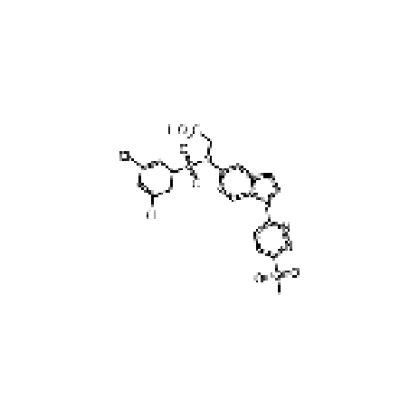 CS(=O)(=O)c1ccc(-n2ccc3cc(N(CC(=O)O)S(=O)(=O)C4C=C(Cl)C=C(Cl)C4)ccc32)nn1